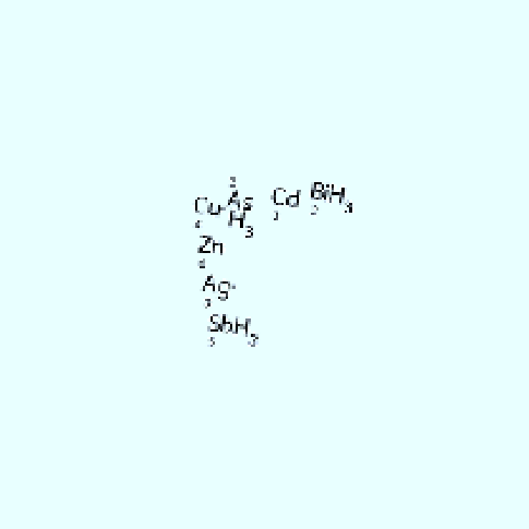 [Ag].[AsH3].[BiH3].[Cd].[Cu].[SbH3].[Zn]